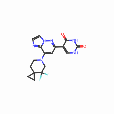 O=c1[nH]cc(-c2cc(N3CCC4(CC4)C(F)(F)C3)c3nccn3n2)c(=O)[nH]1